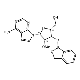 CO[C@H]1C(OB2OCc3ccccc32)[C@@H](CO)O[C@H]1n1cnc2c(N)ncnc21